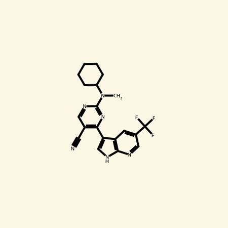 CN(c1ncc(C#N)c(-c2c[nH]c3ncc(C(F)(F)F)cc23)n1)C1CCCCC1